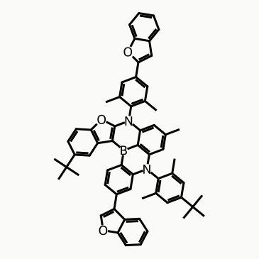 Cc1cc2c3c(c1)N(c1c(C)cc(-c4cc5ccccc5o4)cc1C)c1oc4ccc(C(C)(C)C)cc4c1B3c1ccc(-c3coc4ccccc34)cc1N2c1c(C)cc(C(C)(C)C)cc1C